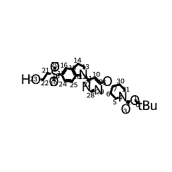 CC(C)(C)OC(=O)N1CCC(Oc2cc(N3CCc4cc(S(=O)(=O)CCO)ccc43)ncn2)CC1